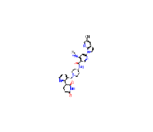 CC(C)Nc1cc(-n2ccc3cc(C#N)cnc32)ncc1C(=O)NC1CCN(Cc2cccnc2C2CCC(=O)NC2=O)CC1